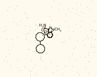 Cn1nc(C(N)=O)c2c([N+]3(C)CCCCCC(C4CCCCCCCC4)CC3)cccc21